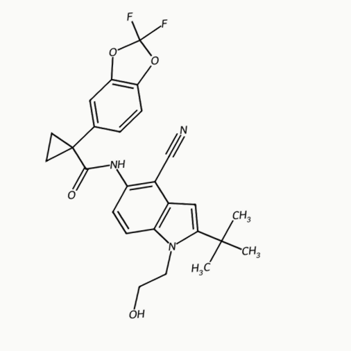 CC(C)(C)c1cc2c(C#N)c(NC(=O)C3(c4ccc5c(c4)OC(F)(F)O5)CC3)ccc2n1CCO